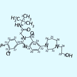 CC(C)(C)NC(=O)Cn1c(-c2ccc(F)c(Cl)c2)nc2ccc(N3CCCN(CCO)CC3)cc2c1=O